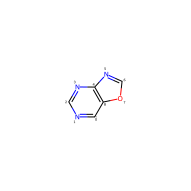 [c]1ncnc2ncoc12